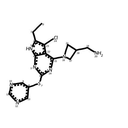 CCc1[nH]c2nc(Sc3cncnc3)nc(N3CC(CN)C3)c2c1Cl